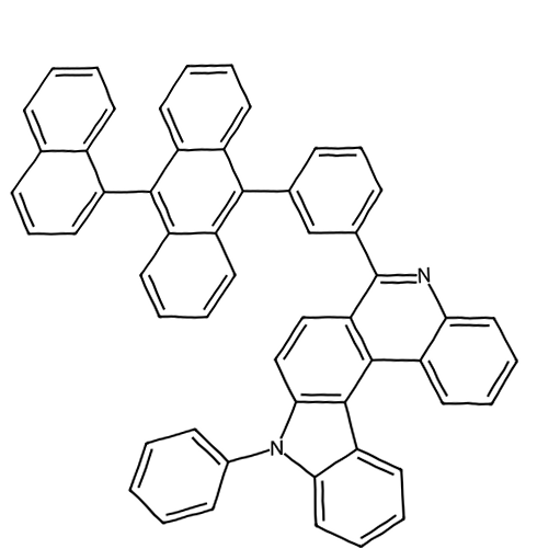 c1ccc(-n2c3ccccc3c3c4c(ccc32)c(-c2cccc(-c3c5ccccc5c(-c5cccc6ccccc56)c5ccccc35)c2)nc2ccccc24)cc1